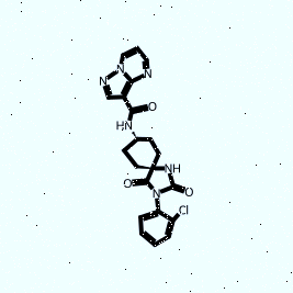 O=C(N[C@H]1CC[C@@]2(CC1)NC(=O)N(c1ccccc1Cl)C2=O)c1cnn2cccnc12